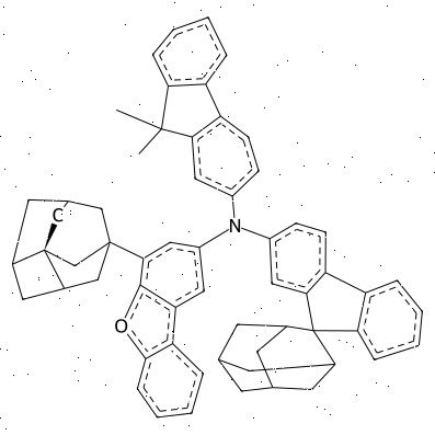 CC1(C)c2ccccc2-c2ccc(N(c3ccc4c(c3)C3(c5ccccc5-4)C4CC5CC(C4)CC3C5)c3cc(C45CC6CC7CC(C4)[C@@]7(C6)C5)c4oc5ccccc5c4c3)cc21